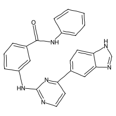 O=C(Nc1ccccc1)c1cccc(Nc2nccc(-c3ccc4[nH]cnc4c3)n2)c1